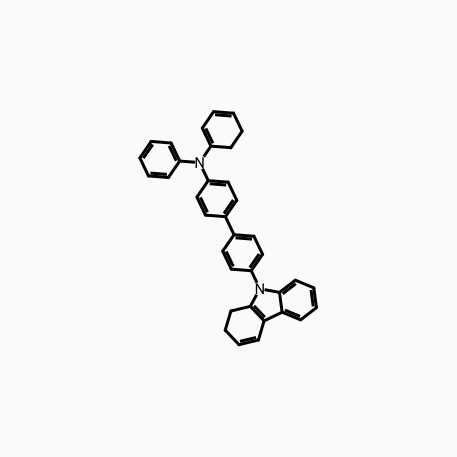 C1=CCCC(N(c2ccccc2)c2ccc(-c3ccc(-n4c5c(c6ccccc64)C=CCC5)cc3)cc2)=C1